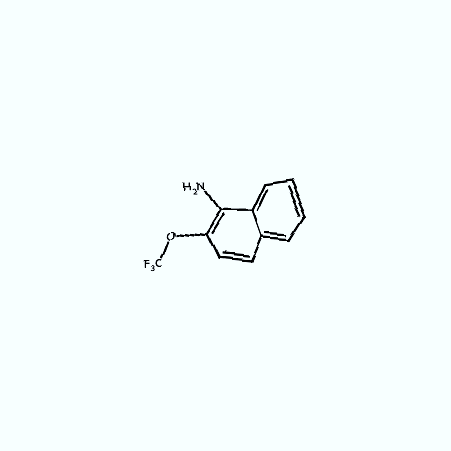 Nc1c(OC(F)(F)F)ccc2ccccc12